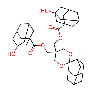 O=C(OCC1(COC(=O)C23CC4CC(CC(O)(C4)C2)C3)COC2(OC1)C1CC3CC(C1)CC2C3)C12CC3CC(CC(O)(C3)C1)C2